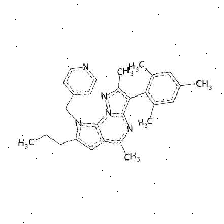 CCCc1cc2c(C)nc3c(-c4c(C)cc(C)cc4C)c(C)nn3c2n1Cc1ccncc1